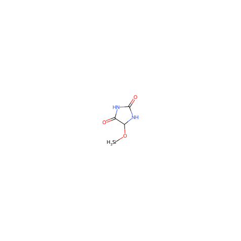 O=C1NC(=O)C(O[SiH3])N1